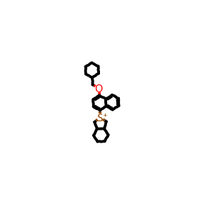 c1ccc2c([S+]3CC4CCCCC4C3)ccc(OCC3CCCCC3)c2c1